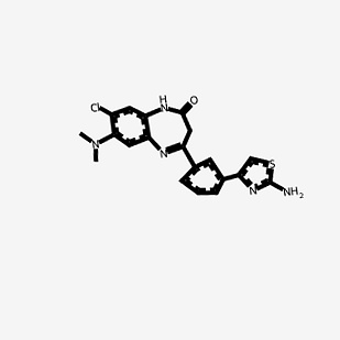 CN(C)c1cc2c(cc1Cl)NC(=O)CC(c1cccc(-c3csc(N)n3)c1)=N2